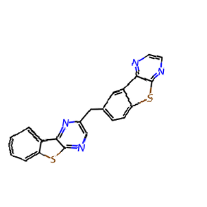 c1ccc2c(c1)sc1ncc(Cc3ccc4sc5nccnc5c4c3)nc12